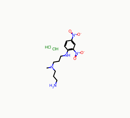 CN(CCCN)CCCNc1ccc([N+](=O)[O-])cc1[N+](=O)[O-].Cl.Cl